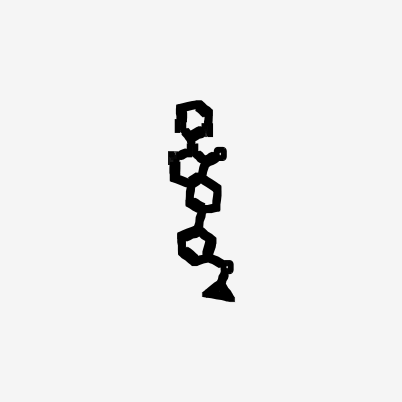 O=c1c2c(cnn1-c1ncccn1)C=C(c1cccc(OC3CC3)c1)CC2